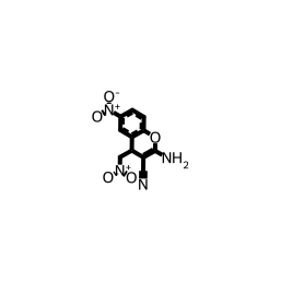 N#CC1=C(N)Oc2ccc([N+](=O)[O-])cc2C1C[N+](=O)[O-]